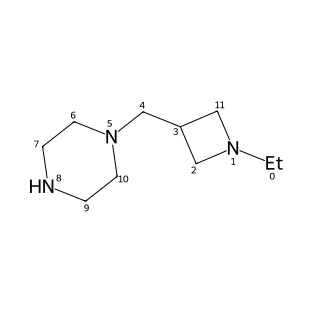 CCN1CC(CN2CCNCC2)C1